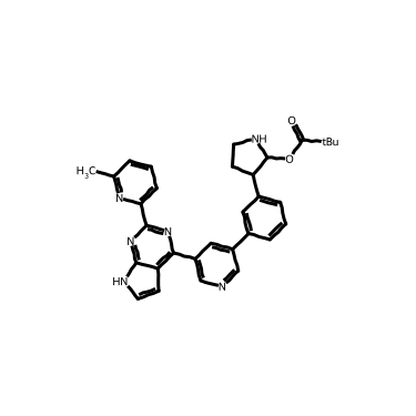 Cc1cccc(-c2nc(-c3cncc(-c4cccc(C5CCNC5OC(=O)C(C)(C)C)c4)c3)c3cc[nH]c3n2)n1